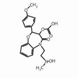 COc1ccc(C2Oc3ccccc3N(CCN(C)O)C(=O)C2OC(=O)O)cc1